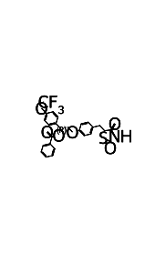 O=C1NC(=O)C(Cc2ccc(OC[C@H](OC(=O)c3ccccc3)c3ccc(OC(F)(F)F)cc3)cc2)S1